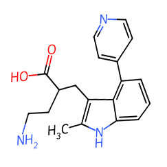 Cc1[nH]c2cccc(-c3ccncc3)c2c1CC(CCN)C(=O)O